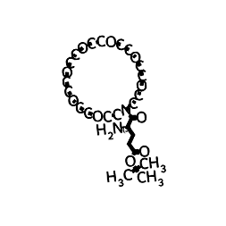 CC(C)(C)OC(=O)CC[C@H](N)C(=O)N1CCOCCOCCOCCOCCOCCOCCOCC1